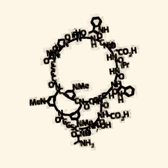 CNc1cc2cc(c1)CN1Cc3cc(cc(NC)c3)CN3Cc4cc(cc(NC)c4)CN(C2)C(=O)CCSC[C@@H](C(N)=O)NC(=O)[C@@H]2CCCN2C(=O)[C@H](C(C)C)NC(=O)[C@H](Cc2c[nH]c4ccccc24)NC(=O)CNC(=O)[C@H](CC(=O)O)NC(=O)[C@H](C(C)C)NC(=O)[C@H](Cc2c[nH]c4ccccc24)NC(=O)[C@H](CSCCC3=O)NC(=O)[C@H](CCC(=O)O)NC(=O)[C@H]([C@@H](C)O)NC(=O)[C@@H](NC(=O)[C@H](C)N)CSCCC1=O